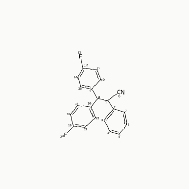 N#CC(c1ccccc1)C(c1ccc(F)cc1)c1ccc(F)cc1